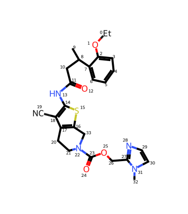 CCOc1ccccc1C(C)CC(=O)Nc1sc2c(c1C#N)CCN(C(=O)OCc1nccn1C)C2